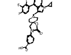 O=C(O)c1ccc(N2CC3(CCN(Cc4cn(C5CC5)c5cccc(-c6ccc(F)c(F)c6F)c45)CC3)OC2=O)cc1